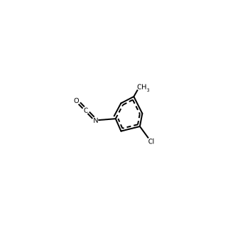 Cc1cc(Cl)cc(N=C=O)c1